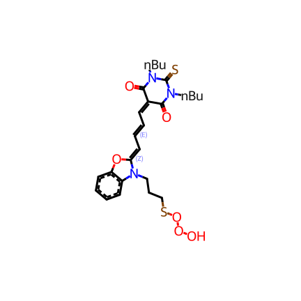 CCCCN1C(=O)C(=C/C=C/C=C2\Oc3ccccc3N2CCCSOOO)C(=O)N(CCCC)C1=S